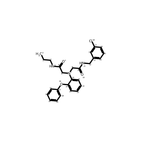 CCCNC(=O)CN(CC(=O)NCc1cccc(Cl)c1)c1ccccc1Oc1ccccc1